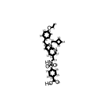 CCOc1ccc(Cc2cc3cc(CNS(=O)(=O)c4ccc(C(=O)O)cc4)cnc3n2CC2CCC2)cc1